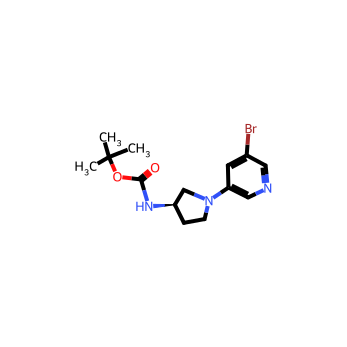 CC(C)(C)OC(=O)N[C@@H]1CCN(c2cncc(Br)c2)C1